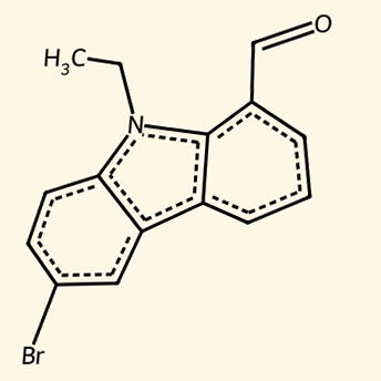 CCn1c2ccc(Br)cc2c2cccc(C=O)c21